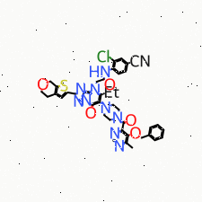 CCc1c(N2CCN(C(=O)c3ncnc(C)c3OCc3ccccc3)CC2)c(=O)n2nc(-c3cc4c(s3)COCC4)nc2n1CC(=O)Nc1ccc(C#N)cc1Cl